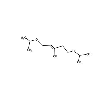 C/C(=C\COC(C)C)CCOC(C)C